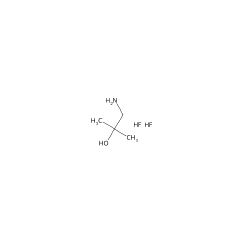 CC(C)(O)CN.F.F